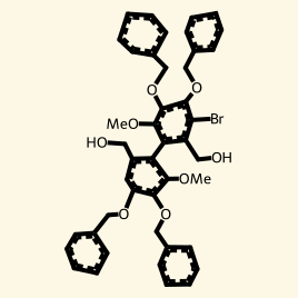 COc1c(OCc2ccccc2)c(OCc2ccccc2)cc(CO)c1-c1c(CO)c(Br)c(OCc2ccccc2)c(OCc2ccccc2)c1OC